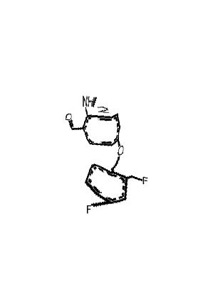 Nc1ccc(Oc2ccc(F)cc2F)cc1C=O